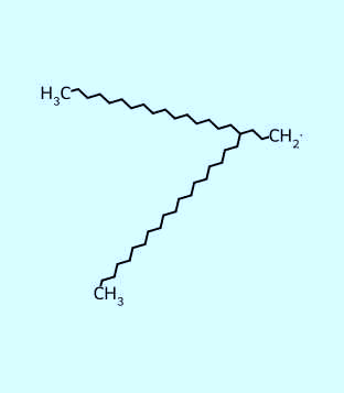 [CH2]CCC(CCCCCCCCCCCCCCCC)CCCCCCCCCCCCCCCCCCC